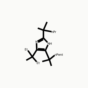 CCCCCC(C)(C)c1[nH]c(C(C)(C)CCC)nc1C(C)(CC)CC